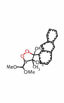 COC(OC)B1OOC(C)(c2cccc3cc4ccccc4cc23)C1(C)C